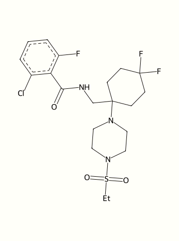 CCS(=O)(=O)N1CCN(C2(CNC(=O)c3c(F)cccc3Cl)CCC(F)(F)CC2)CC1